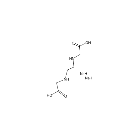 O=C(O)CNCCNCC(=O)O.[NaH].[NaH]